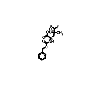 CC(C)(C[C@@H](NC(=O)OCc1ccccc1)C(=O)O)C(F)F